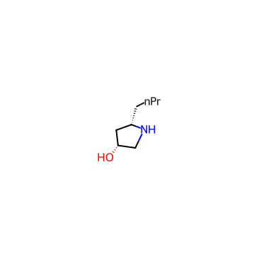 CCCC[C@H]1C[C@@H](O)CN1